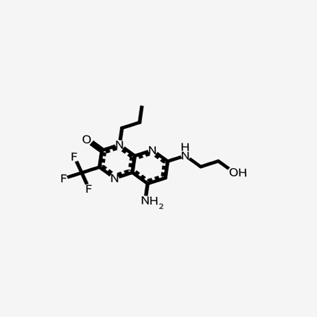 CCCn1c(=O)c(C(F)(F)F)nc2c(N)cc(NCCO)nc21